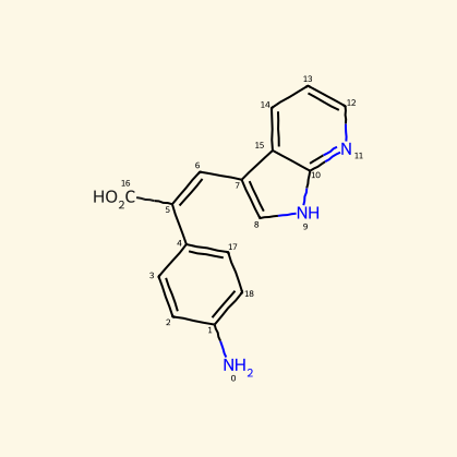 Nc1ccc(C(=Cc2c[nH]c3ncccc23)C(=O)O)cc1